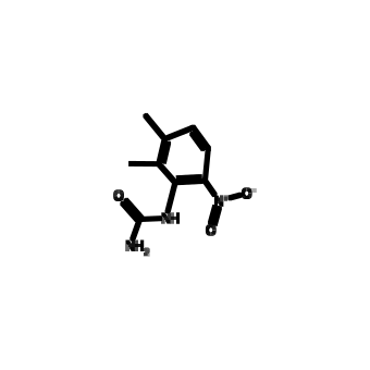 Cc1ccc([N+](=O)[O-])c(NC(N)=O)c1C